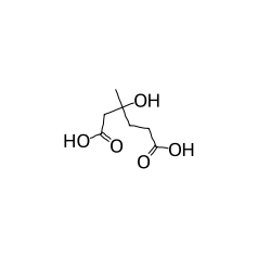 CC(O)(CCC(=O)O)CC(=O)O